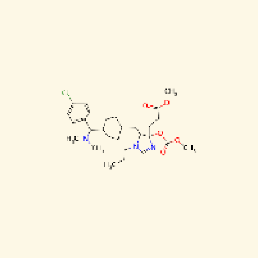 CCCN1C=NC(CCC(=O)OC)(OC(=O)OC)C1CC1CCC(C(c2ccc(Cl)cc2)N(C)C)CC1